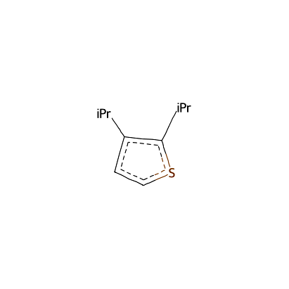 CC(C)c1ccsc1C(C)C